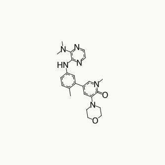 Cc1ccc(Nc2nccnc2N(C)C)cc1-c1cc(N2CCOCC2)c(=O)n(C)c1